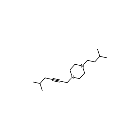 CC(C)CC#CCN1CCN(CCC(C)C)CC1